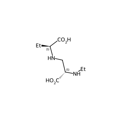 CCN[C@@H](CN[C@@H](CC)C(=O)O)C(=O)O